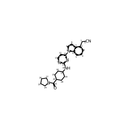 N#CCc1cccc2c1ccn2-c1ccnc(NC2CCC(C(=O)N3CCCC3)CC2)n1